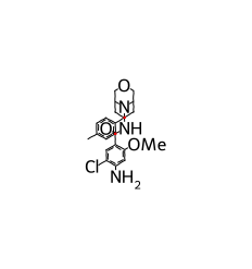 COc1cc(N)c(Cl)cc1C(=O)NC1CC2COCC(C1)N2Cc1ccc(C)cc1